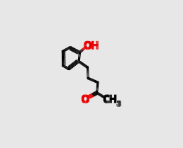 CC(=O)CCCc1ccccc1O